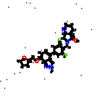 Cn1cc2c(-c3cc(F)c(CN4Cc5ncccc5C4=O)c(F)c3)ccc(OCC3CCCO3)c2n1